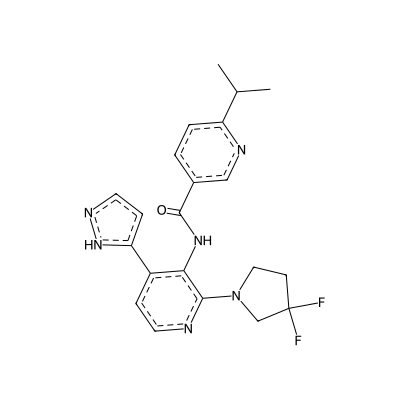 CC(C)c1ccc(C(=O)Nc2c(-c3ccn[nH]3)ccnc2N2CCC(F)(F)C2)cn1